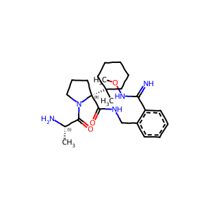 CONC(=N)c1ccccc1CNC(=O)[C@]1(C2(C)CCCCC2)CCCN1C(=O)[C@H](C)N